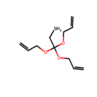 C=CCOC(C[SiH3])(OCC=C)OCC=C